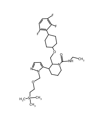 CCNC(=O)N1CCCC(c2ccnn2COCC[Si](C)(C)C)C1COC1CCC(c2c(F)ccc(F)c2F)CC1